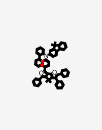 CC1(C)c2ccccc2-c2ccc(N(c3ccc(-c4oc(-c5ccccc5)c5c4-c4oc(-c6ccccc6)c(-c6ccccc6)c4C5(C)C)cc3)c3ccccc3-c3ccccc3)cc21